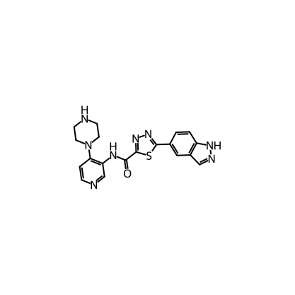 O=C(Nc1cnccc1N1CCNCC1)c1nnc(-c2ccc3[nH]ncc3c2)s1